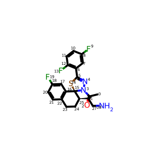 CC(=O)N1N=C(c2cc(F)ccc2F)S[C@@]12c1cc(F)ccc1CC[C@@H]2CCN